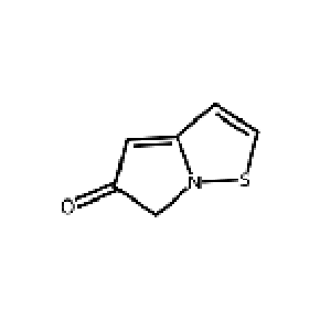 O=C1C=C2C=CSN2C1